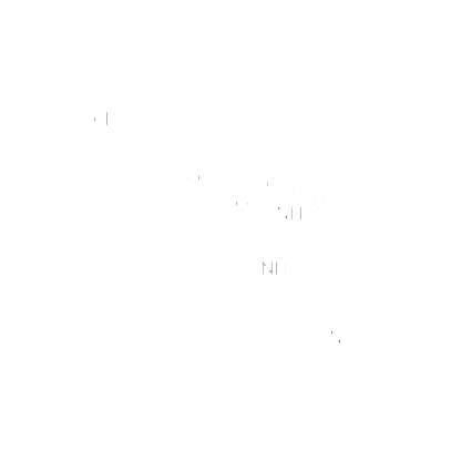 C=N/C=C\C(=C/C)c1cccc2c(CCCOc3cc(C)c(Cl)c(C)c3)c(C(=O)NS(=O)(=O)c3ccccc3)[nH]c12